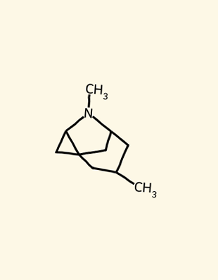 CC1CC2CC3(C1)CC3N2C